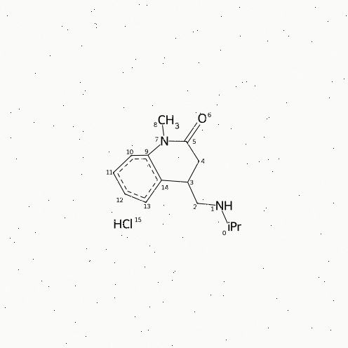 CC(C)NCC1CC(=O)N(C)c2ccccc21.Cl